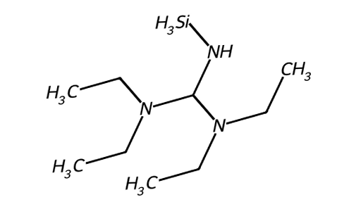 CCN(CC)C(N[SiH3])N(CC)CC